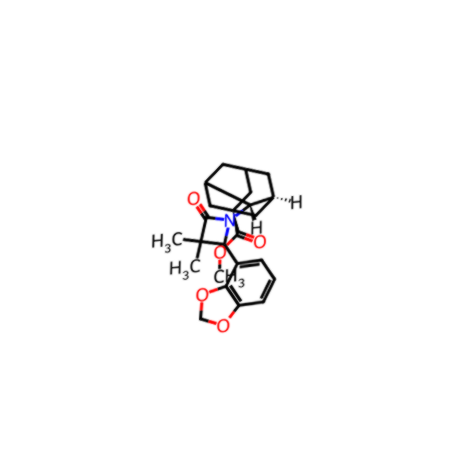 COC(=O)[C@]12CC3CC(C1)[C@@H](N1C(=O)C(C)(C)C1c1cccc4c1OCO4)[C@@H](C3)C2